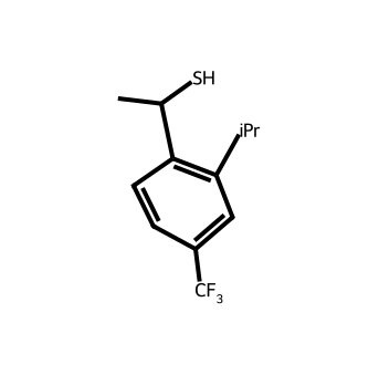 CC(C)c1cc(C(F)(F)F)ccc1C(C)S